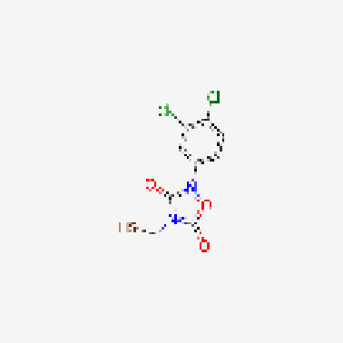 O=c1on(-c2ccc(Cl)c(Cl)c2)c(=O)n1CS